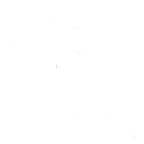 COc1cc(OC)c2c(=O)[nH]c(-c3cc(OC)c(OC(=O)C(C)(C)Br)c(OC)c3)nc2c1